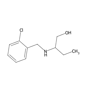 CCC(CO)NCc1ccccc1Cl